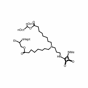 CCCCCCCCC(CCCCCCCC)OC(=O)CCCCCCCN(CCCCCCCC(=O)OCC(CC)CCCCCCC)CCCNc1c(NC)c(=O)c1=O